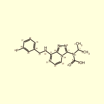 CC(C)N(C(=O)O)c1nnc2c(NCc3cccc(F)c3)nccn12